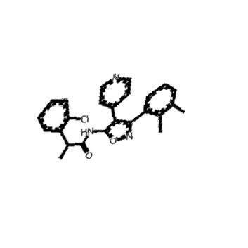 Cc1cccc(-c2noc(NC(=O)C(C)c3ccccc3Cl)c2-c2ccncc2)c1C